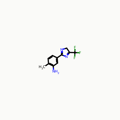 Cc1ccc(C2=NCC(C(F)(F)F)=N2)cc1N